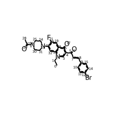 CCn1cc(C(=O)C=Cc2ccc(Br)cc2)c(=O)c2cc(F)c(N3CCN(C(C)=O)CC3)cc21